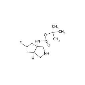 CC(C)(C)OC(=O)N[C@]12CNC[C@H]1CC(F)C2